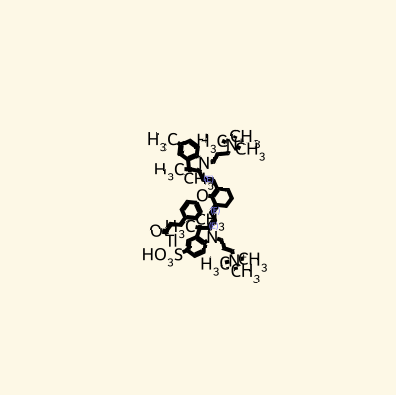 Cc1ccc2c(c1)C(C)(C)C(/C=C/C1=C(Oc3ccc(CC[C](=O)[Tl])cc3)C(=C/C=C3/N(CCC[N+](C)(C)C)c4ccc(S(=O)(=O)O)cc4C3(C)C)/CCC1)=[N+]2CCC[N+](C)(C)C